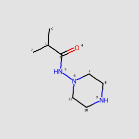 CC(C)C(=O)NN1CCNCC1